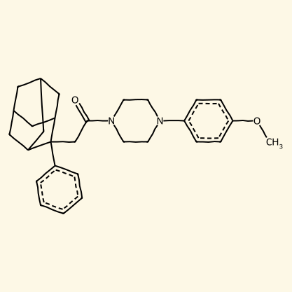 COc1ccc(N2CCN(C(=O)CC3(c4ccccc4)C4CC5CC(C4)CC3C5)CC2)cc1